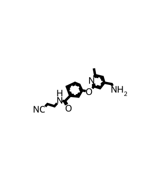 Cc1cc(CN)cc(Oc2cccc(C(=O)NCCC#N)c2)n1